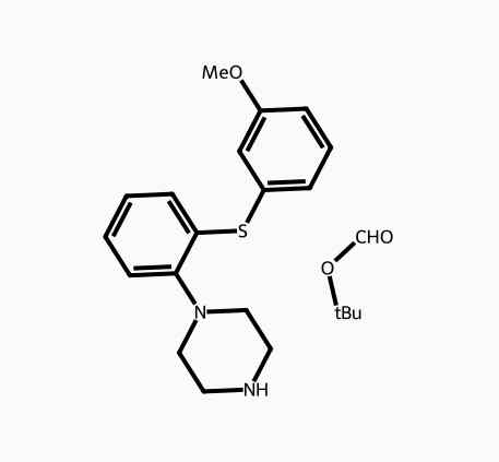 CC(C)(C)OC=O.COc1cccc(Sc2ccccc2N2CCNCC2)c1